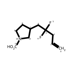 C=CCC(F)(F)CC1CCN(C(=O)O)C1